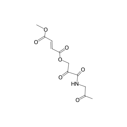 COC(=O)/C=C/C(=O)OCC(=O)C(=O)NCC(C)=O